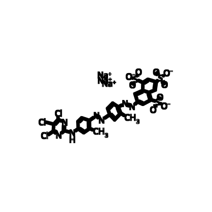 Cc1cc(N=Nc2ccc(Nc3nc(Cl)c(Cl)c(Cl)n3)cc2C)ccc1N=Nc1cc(S(=O)(=O)[O-])c2cc(S(=O)(=O)[O-])cc(S(=O)(=O)[O-])c2c1.[Na+].[Na+].[Na+]